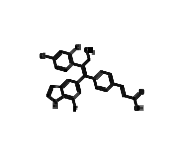 CCC(=C(c1ccc(C=CC(=O)O)cc1)c1cc(F)c2[nH]ccc2c1)c1ccc(Cl)cc1Cl